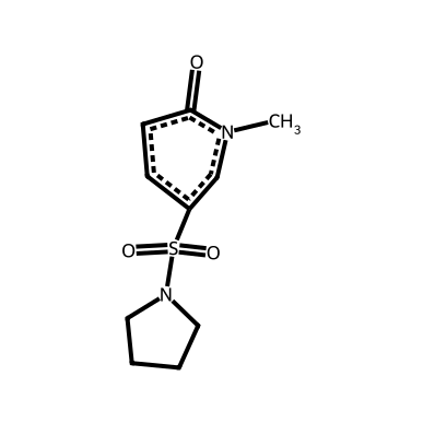 Cn1cc(S(=O)(=O)N2CCCC2)ccc1=O